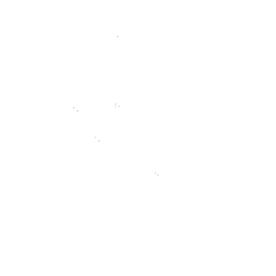 O=C1C2=C(CCN(Cc3cccc(Cl)c3)C2)N2CCN=C2N1Cc1ccccc1C(F)(F)F